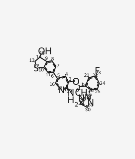 C[C@@H](Oc1cc(-c2ccc3c(c2)SCC3O)cnc1N)c1cc(F)ccc1-n1nccn1